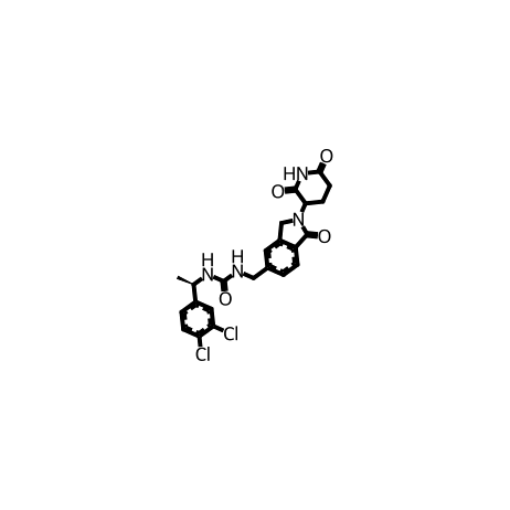 C[C@@H](NC(=O)NCc1ccc2c(c1)CN(C1CCC(=O)NC1=O)C2=O)c1ccc(Cl)c(Cl)c1